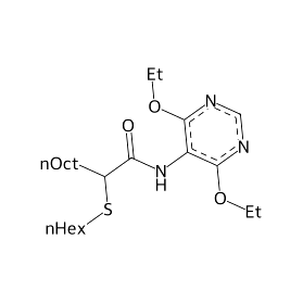 CCCCCCCCC(SCCCCCC)C(=O)Nc1c(OCC)ncnc1OCC